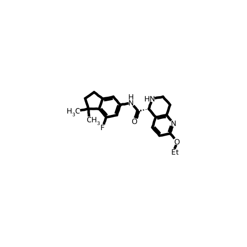 CCOc1ccc2c(n1)CCN[C@H]2C(=O)Nc1cc(F)c2c(c1)CCC2(C)C